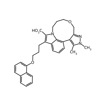 Cc1c2c(nn1C)COCCCn1c(C(=O)O)c(CCCOc3cccc4ccccc34)c3cccc-2c31